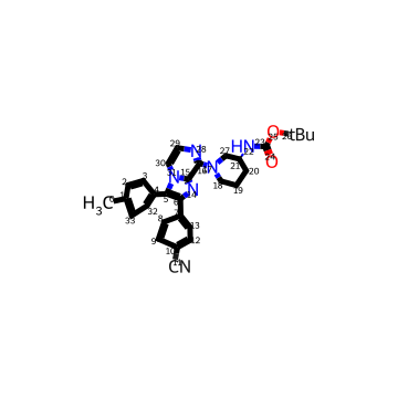 Cc1ccc(-c2c(-c3ccc(C#N)cc3)nc3c(N4CCC[C@@H](NC(=O)OC(C)(C)C)C4)nccn23)cc1